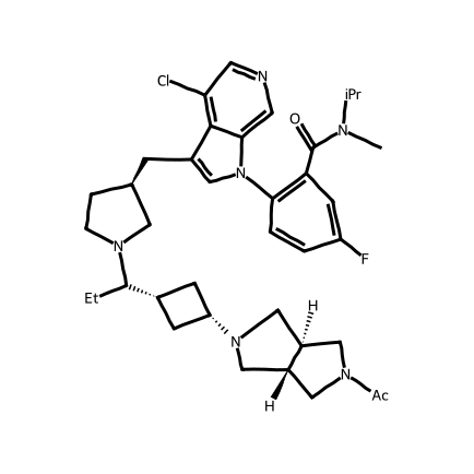 CCC([C@H]1C[C@@H](N2C[C@H]3CN(C(C)=O)C[C@@H]3C2)C1)N1CC[C@@H](Cc2cn(-c3ccc(F)cc3C(=O)N(C)C(C)C)c3cncc(Cl)c23)C1